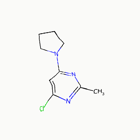 Cc1nc(Cl)cc(N2CCCC2)n1